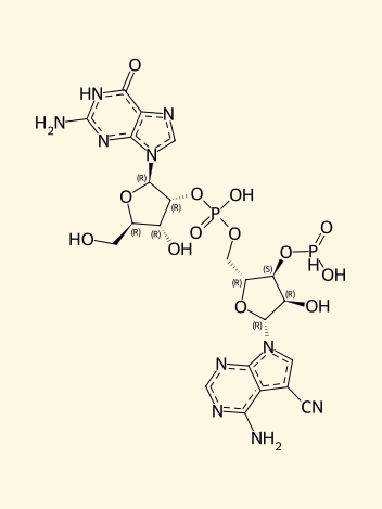 N#Cc1cn([C@@H]2O[C@H](COP(=O)(O)O[C@@H]3[C@H](O)[C@@H](CO)O[C@H]3n3cnc4c(=O)[nH]c(N)nc43)[C@@H](O[PH](=O)O)[C@H]2O)c2ncnc(N)c12